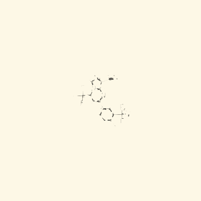 Cc1ccc(-c2cc(C(F)(F)F)n3cnc(C#N)c3n2)cc1C(F)(F)F